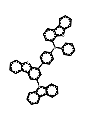 c1ccc(N(c2ccc(-c3cc(-n4c5ccccc5c5ccccc54)cc4c3sc3ccccc34)cc2)c2cccc3c2oc2ccccc23)cc1